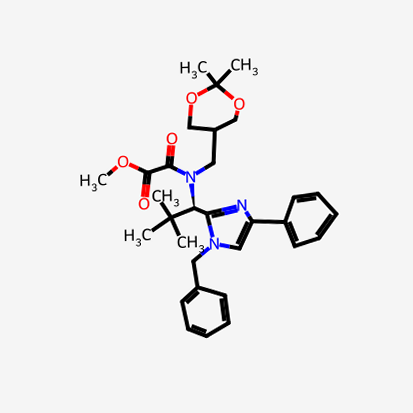 COC(=O)C(=O)N(CC1COC(C)(C)OC1)[C@@H](c1nc(-c2ccccc2)cn1Cc1ccccc1)C(C)(C)C